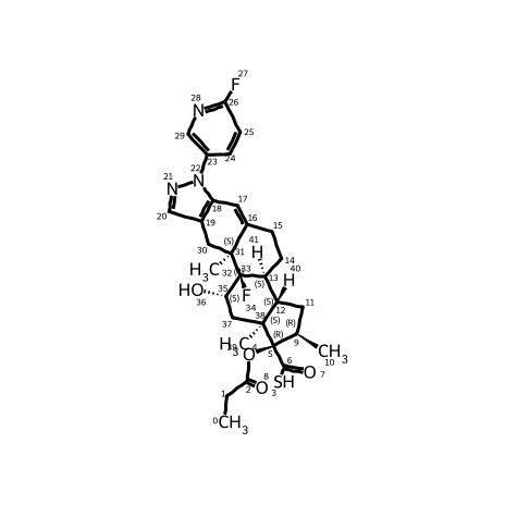 CCC(=O)O[C@]1(C(=O)S)[C@H](C)C[C@H]2[C@@H]3CCC4=Cc5c(cnn5-c5ccc(F)nc5)C[C@]4(C)[C@@]3(F)[C@@H](O)C[C@@]21C